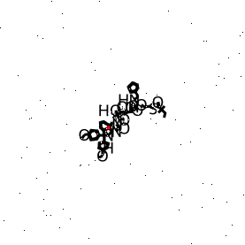 CCC(C)(C)C(=O)SCCOP(=O)(NCc1ccccc1)OCC1O[C@@H](n2ccc(NC(c3ccccc3)(c3ccc(OC)cc3)c3ccc(OC)cc3)nc2=O)[C@](C)(O)[C@@H]1O